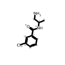 CC(CN)NC(=O)c1cccc(Cl)c1